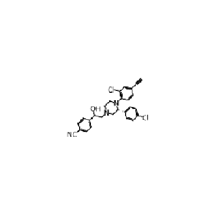 C#Cc1ccc(N2CCN(CC(O)c3ccc(C#N)cc3)C[C@H]2c2ccc(Cl)cc2)c(Cl)c1